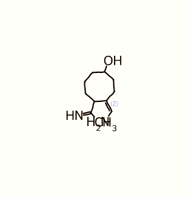 CC(=N)C1CCCC(O)CC/C1=C/N